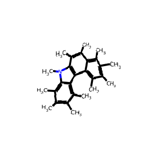 Cc1c(C)c(C)c2c(c1C)c(C)c(C)c1c2c2c(C)c(C)c(C)c(C)c2n1C